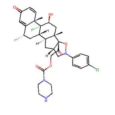 C[C@]12C=CC(=O)C=C1[C@@H](F)C[C@H]1[C@@H]3C[C@H]4CN(c5ccc(Cl)cc5)O[C@@]4(C(=O)COC(=O)N4CCNCC4)[C@@]3(C)C[C@H](O)[C@@]12F